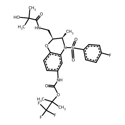 C[C@@H]1[C@H](CNC(=O)C(C)(C)O)Oc2ccc(NC(=O)OC(C)(C)C(F)(F)F)cc2N1S(=O)(=O)c1ccc(F)cc1